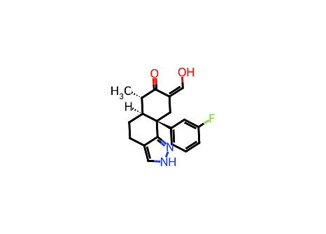 C[C@@H]1C(=O)/C(=C\O)C[C@]2(c3cccc(F)c3)c3n[nH]cc3CC[C@@H]12